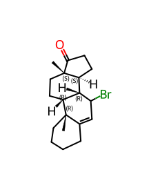 C[C@]12CCCCC1=CC(Br)[C@@H]1[C@H]2CC[C@]2(C)C(=O)CC[C@@H]12